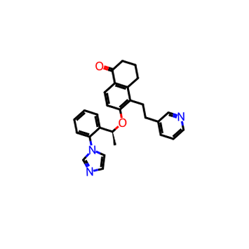 C[C@H](Oc1ccc2c(c1CCc1cccnc1)CCCC2=O)c1ccccc1-n1ccnc1